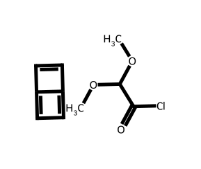 COC(OC)C(=O)Cl.c1cc2ccc1-2